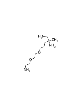 CC(N)(CN)CCCOCCOCCN